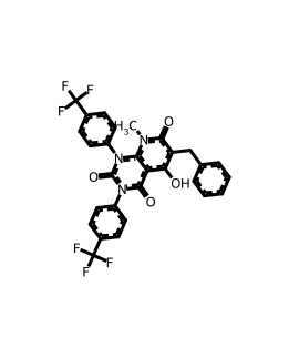 Cn1c(=O)c(Cc2ccccc2)c(O)c2c(=O)n(-c3ccc(C(F)(F)F)cc3)c(=O)n(-c3ccc(C(F)(F)F)cc3)c21